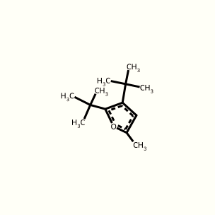 Cc1cc(C(C)(C)C)c(C(C)(C)C)o1